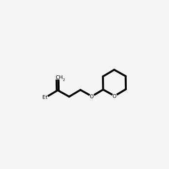 C=C(CC)CCOC1CCCCO1